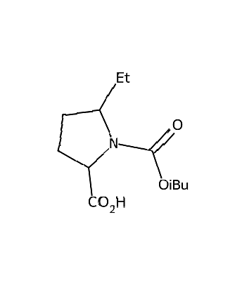 CCC1CCC(C(=O)O)N1C(=O)OCC(C)C